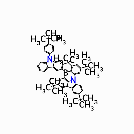 CC(C)(C)c1ccc(-n2c3ccccc3c3cc4c(cc32)C(C)(C)c2cc(C(C)(C)C)cc3c2B4c2cc(C(C)(C)C)cc4c5cc(C(C)(C)C)ccc5n-3c24)cc1